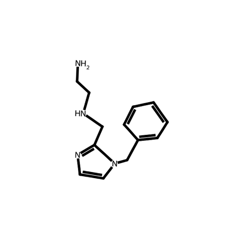 NCCNCc1nccn1Cc1ccccc1